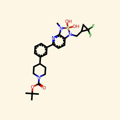 CN1c2nc(-c3cccc(C4CCN(C(=O)OC(C)(C)C)CC4)c3)ccc2N(CC2CC2(F)F)S1(O)O